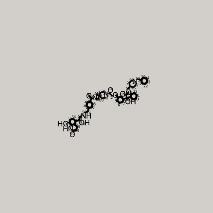 O=C(COc1cccc([C@](O)(C(=O)OCC2CCN(Cc3ccccc3)CC2)c2ccccc2)c1)N1CCC2(CC1)CN(C(=O)c1ccc(CCNC[C@H](O)c3ccc(O)c4[nH]c(=O)ccc34)cc1)C2